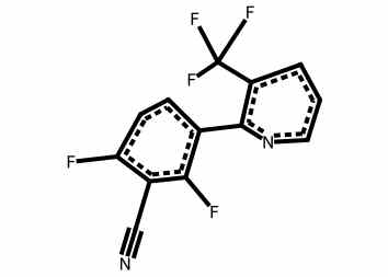 N#Cc1c(F)ccc(-c2ncccc2C(F)(F)F)c1F